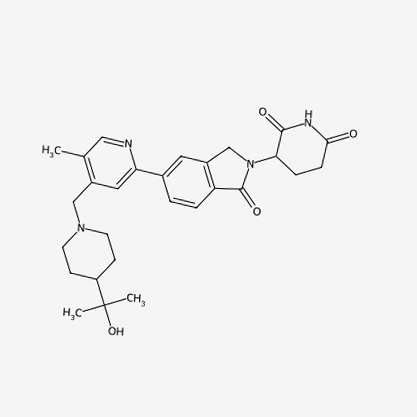 Cc1cnc(-c2ccc3c(c2)CN(C2CCC(=O)NC2=O)C3=O)cc1CN1CCC(C(C)(C)O)CC1